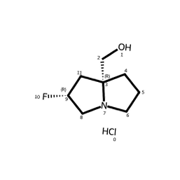 Cl.OC[C@]12CCCN1C[C@H](F)C2